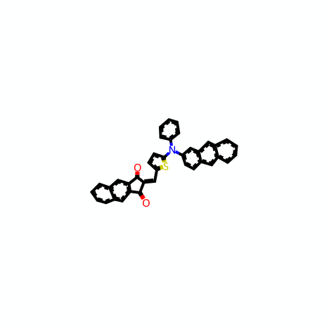 O=C1C(=Cc2ccc(N(c3ccccc3)c3ccc4cc5ccccc5cc4c3)s2)C(=O)c2cc3ccccc3cc21